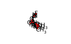 CC1CCCC(C(NC(=O)c2cnc(N3CC4(CCOCC4)c4cc(OC5CCN(c6ncc(F)cn6)CC5)ccc43)nc2C(F)(F)F)(C(=O)O)C(C)C)C1